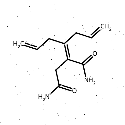 C=CCC(CC=C)=C(CC(N)=O)C(N)=O